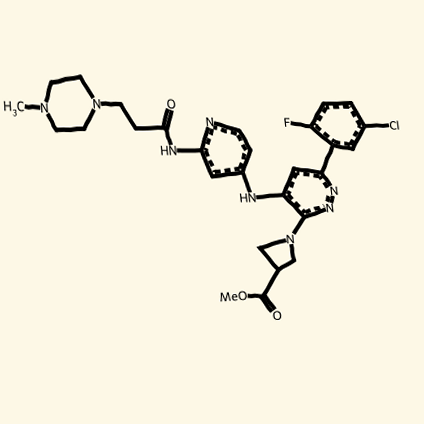 COC(=O)C1CN(c2nnc(-c3cc(Cl)ccc3F)cc2Nc2ccnc(NC(=O)CCN3CCN(C)CC3)c2)C1